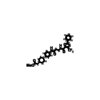 COC(=O)C[C@H]1CC[C@H](c2ccc(NC(=O)CCNC(=O)c3oc(-c4ccccc4)nc3C(F)(F)F)cc2)CC1